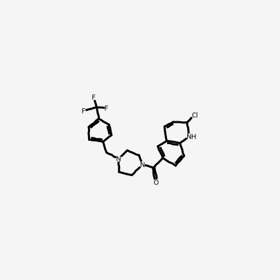 O=C(c1ccc2c(c1)C=CC(Cl)N2)N1CCN(Cc2ccc(C(F)(F)F)cc2)CC1